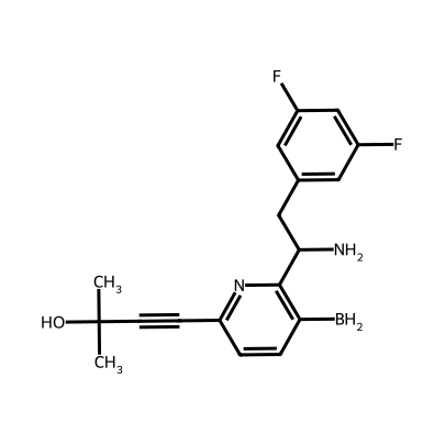 Bc1ccc(C#CC(C)(C)O)nc1C(N)Cc1cc(F)cc(F)c1